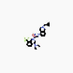 CCN(CC)CCN(Cc1ccccc1C(F)(F)F)C(=O)CNc1cccc2c1CCN(CC1CC1)C2